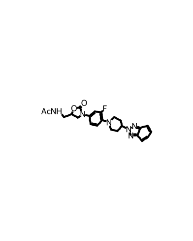 CC(=O)NCC1CN(c2ccc(N3CCC(n4nc5ccccc5n4)CC3)c(F)c2)C(=O)O1